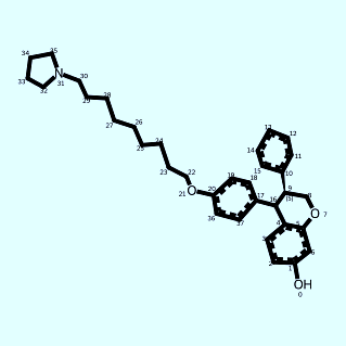 Oc1ccc2c(c1)OC[C@H](c1ccccc1)C2c1ccc(OCCCCCCCCCN2CCCC2)cc1